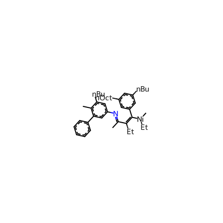 CCCCCCCCc1cc(CCCC)cc([C](=C(CC)C(C)=Nc2cc(CCCC)c(C)c(-c3ccccc3)c2)[Ni]([CH3])[CH2]C)c1